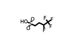 O=S(=O)(O)CCC(F)C(F)(F)F